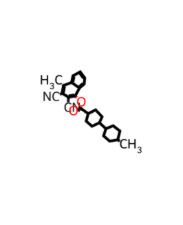 Cc1c(C#N)c(C#N)c(OC(=O)C2CCC(C3CCC(C)CC3)CC2)c2ccccc12